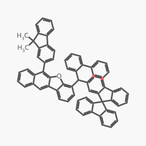 CC1(C)c2ccccc2-c2ccc(-c3c4ccccc4cc4c3oc3c(C(c5ccc6c(c5)C5(c7ccccc7-c7ccccc75)c5ccccc5-6)c5ccccc5-c5ccccc5)cccc34)cc21